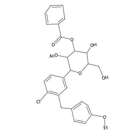 CCOc1ccc(Cc2cc(C3OC(CO)C(O)C(OC(=O)c4ccccc4)C3OC(C)=O)ccc2Cl)cc1